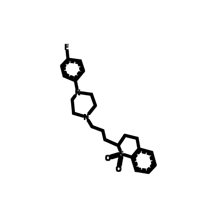 O=S1(=O)c2ccccc2CCC1CCCN1CCN(c2ccc(F)cc2)CC1